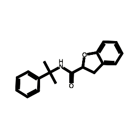 CC(C)(NC(=O)C1Cc2ccccc2O1)c1ccccc1